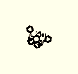 c1ccc(N2CCN(c3ccccc3)C2c2nc[nH]c2C2N(c3ccccc3)CCN2c2ccccc2)cc1